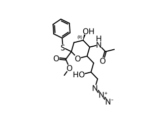 COC(=O)C1(Sc2ccccc2)C[C@@H](O)C(NC(C)=O)C(CC(O)CN=[N+]=[N-])O1